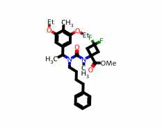 CCOc1cc(C(C)N(CCCCc2ccccc2)C(=O)N(C)C2(C(=O)OC)CC(F)(F)C2)cc(OCC)c1C